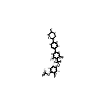 CC1CCC(c2ccc(-c3cc(F)c(C(F)(F)Oc4ccc(OC(F)F)c(F)c4)c(F)c3)cc2)OC1